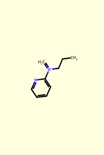 C=[N+](CCC)c1ccccn1